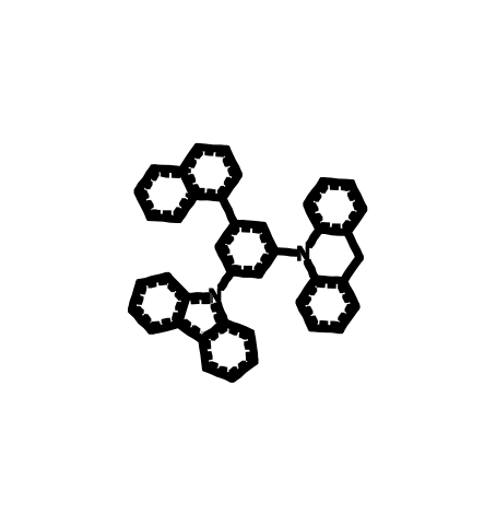 c1ccc2c(c1)Cc1ccccc1N2c1cc(-c2cccc3ccccc23)cc(-n2c3ccccc3c3ccccc32)c1